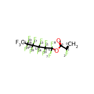 C=C(F)C(=O)OC(F)(F)C(F)(F)C(F)(F)C(F)(F)C(F)(F)C(F)(F)F